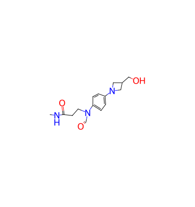 CNC(=O)CCN(C=O)c1ccc(N2CC(CO)C2)cc1